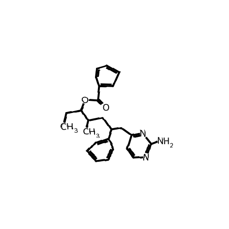 CCC(OC(=O)c1ccccc1)C(C)CC(Cc1ccnc(N)n1)c1ccccc1